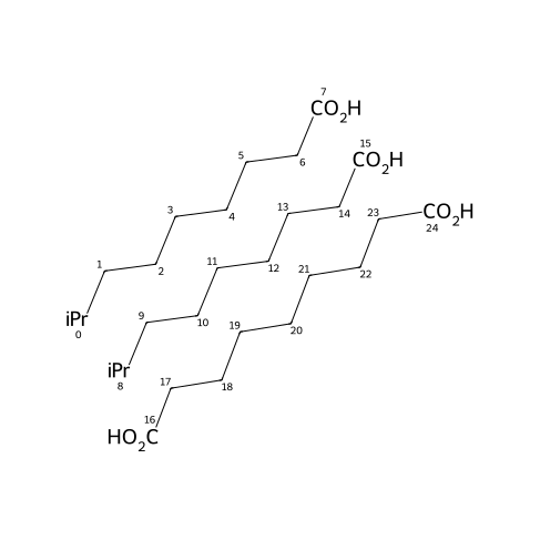 CC(C)CCCCCCC(=O)O.CC(C)CCCCCCC(=O)O.O=C(O)CCCCCCCC(=O)O